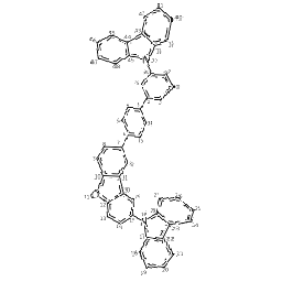 c1cc(-c2ccc(-c3ccc4oc5ccc(-n6c7ccccc7c7ccccc76)cc5c4c3)cc2)cc(-n2c3ccccc3c3ccccc32)c1